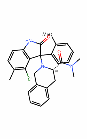 COc1ccccc1C1(N2Cc3ccccc3C[C@H]2C(=O)N(C)C)C(=O)Nc2ccc(C)c(Cl)c21